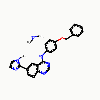 CNC.Cn1ccnc1-c1ccc2ncnc(Nc3ccc(OCc4ccccc4)cc3)c2c1